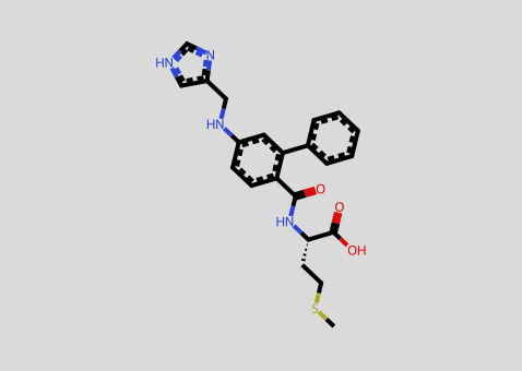 CSCC[C@H](NC(=O)c1ccc(NCc2c[nH]cn2)cc1-c1ccccc1)C(=O)O